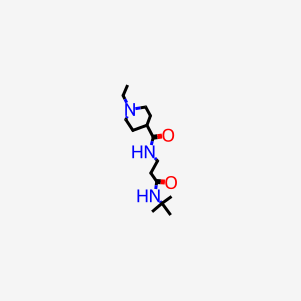 CCN1CCC(C(=O)NCCC(=O)NC(C)(C)C)CC1